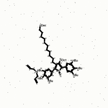 C=C[CH2][Ni][CH2]C=C.CCCCCCCCCCCCCCCCCCCCCC1=C(c2cc(CCCC)c(CCCC)c(CCCC)c2)[N+](=[N-])C(c2cc(CCCC)c(CCCC)c(CCCC)c2)=C1CCCCCCCC